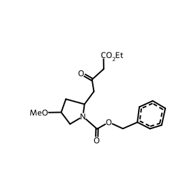 CCOC(=O)CC(=O)CC1CC(OC)CN1C(=O)OCc1ccccc1